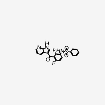 O=C(c1c(F)ccc(NS(=O)(=O)c2ccccc2)c1F)c1c[nH]c2ncccc12